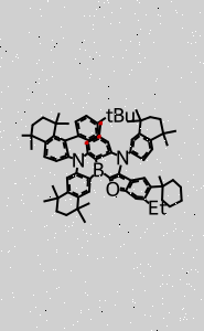 CCc1cc2oc3c(c2cc1C1(C)CCCCC1)N(c1ccc2c(c1)C(C)(C)CCC2(C)C)c1cc(C)cc2c1B3c1cc3c(cc1N2c1ccc2c(c1-c1ccc(C(C)(C)C)cc1)C(C)(C)CCC2(C)C)C(C)(C)CCC3(C)C